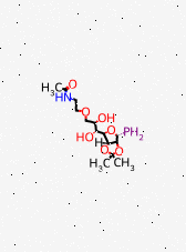 CC(=O)NCCOC[C@@H](O)[C@@H](O)[C@H]1O[C@H](P)C2OC(C)(C)O[C@@H]21